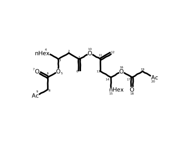 C=C(CC(CCCCCC)OC(=O)CC(C)=O)OC(=C)CC(CCCCCC)OC(=O)CC(C)=O